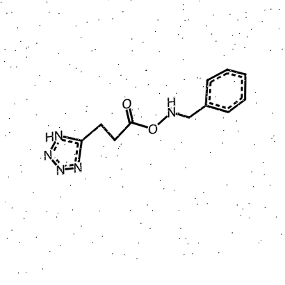 O=C(CCc1nnn[nH]1)ONCc1ccccc1